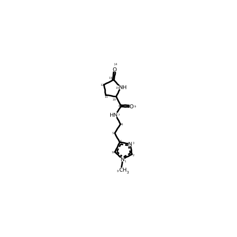 Cn1cnc(CCNC(=O)C2CCC(=O)N2)c1